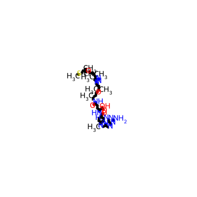 CSCCC(C)(C)OCCC(C)(C)c1cn(CCC(C)(C)OCCC(C)CNC(=O)CCC(NC(=O)c2ccc(N(C)Cc3cnc4nc(N)nc(N)c4n3)cc2)C(=O)O)nn1